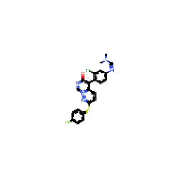 CN(C)/C=N\c1ccc(-c2c(=O)ncn3nc(Sc4ccc(F)cc4)ccc23)c(Cl)c1